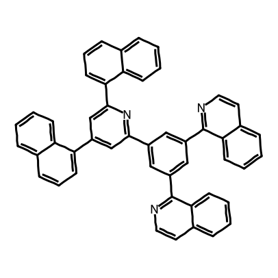 c1ccc2c(-c3cc(-c4cc(-c5nccc6ccccc56)cc(-c5nccc6ccccc56)c4)nc(-c4cccc5ccccc45)c3)cccc2c1